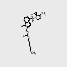 CCCCCCOC(=O)OCn1ccc2c(S(=O)(=O)N3CC[C@H](N)C34CC4)cccc2c1=O